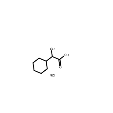 Cl.O=C(O)C(O)C1CCCCC1